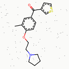 Cc1cc(C(=O)c2ccsc2)ccc1OCCN1CCCC1